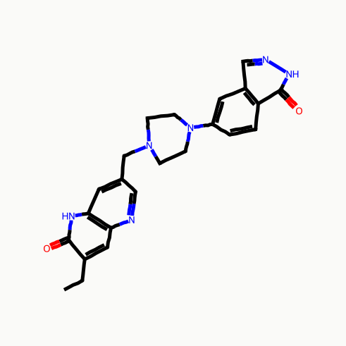 CCc1cc2ncc(CN3CCN(c4ccc5c(=O)[nH]ncc5c4)CC3)cc2[nH]c1=O